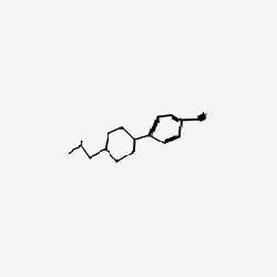 CC(F)CC1CCC(c2ccc(C#N)cc2)CC1